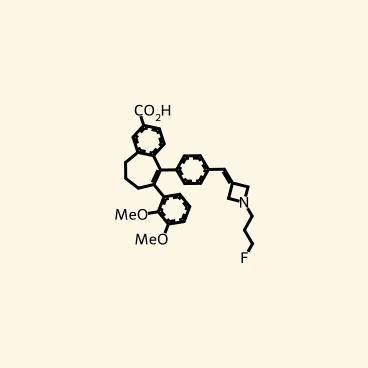 COc1cccc(C2=C(c3ccc(C=C4CN(CCCF)C4)cc3)c3ccc(C(=O)O)cc3CCC2)c1OC